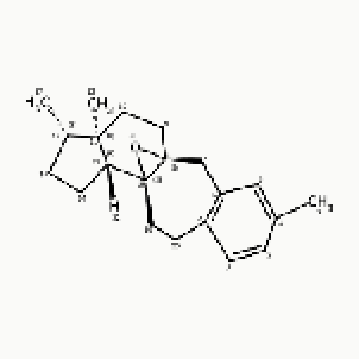 Cc1ccc2c(c1)C[C@@]13CC[C@@]4(C)[C@@H](CC[C@@H]4C)[C@]1(CC2)O3